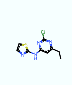 CCc1cc(Nc2nccs2)nc(Cl)n1